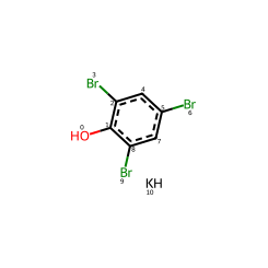 Oc1c(Br)cc(Br)cc1Br.[KH]